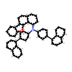 c1ccc2c(-c3ccc(N(c4ccc(-c5cccc6ccccc56)cc4)c4cccc5ccc6c7ccccc7oc6c45)cc3)cccc2c1